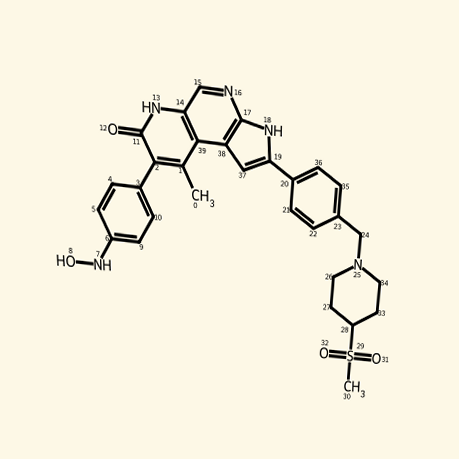 Cc1c(-c2ccc(NO)cc2)c(=O)[nH]c2cnc3[nH]c(-c4ccc(CN5CCC(S(C)(=O)=O)CC5)cc4)cc3c12